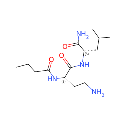 CCCC(=O)N[C@@H](CCN)C(=O)N[C@@H](CC(C)C)C(N)=O